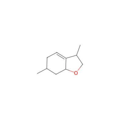 CC1CC=C2C(C)COC2C1